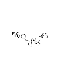 CN(CCC[C@H](Oc1ccccc1CCc1cccc(OC(F)(F)F)c1)OC(F)F)C(F)(F)F